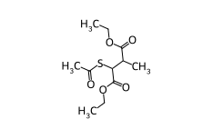 CCOC(=O)C(C)C(SC(C)=O)C(=O)OCC